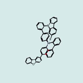 Fc1ccc2c3ccccc3n(-c3ccccc3-c3ccc(N(c4ccc(-c5ccc6oc7ccccc7c6c5)cc4)c4ccccc4-c4ccccc4)cc3)c2c1